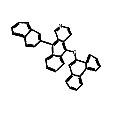 c1ccc2cc(-c3c4ccccc4c(Oc4cc5ccccc5c5ccccc45)c4ccncc34)ccc2c1